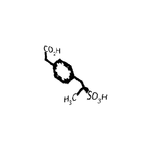 CC(Cc1ccc(CC(=O)O)cc1)S(=O)(=O)O